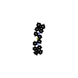 c1ccc(C2(c3ccccc3)c3ccccc3-c3ccc(-n4c5ccccc5c5c6sc7c(ccc8c7c7ccccc7n8-c7ccc8c(c7)C(c7ccccc7)(c7ccccc7)c7ccccc7-8)c6ccc54)cc32)cc1